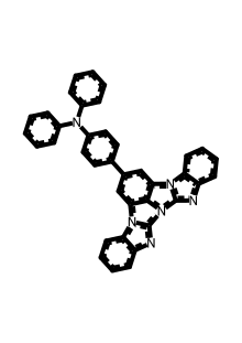 c1ccc(N(c2ccccc2)c2ccc(-c3cc4c5c(c3)n3c6ccccc6nc3n5c3nc5ccccc5n43)cc2)cc1